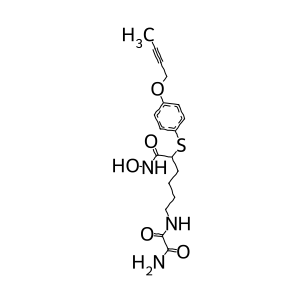 CC#CCOc1ccc(SC(CCCCNC(=O)C(N)=O)C(=O)NO)cc1